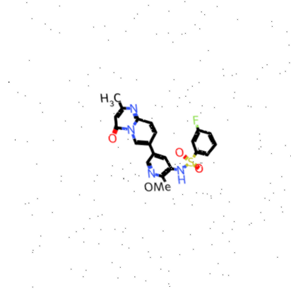 COc1ncc(-c2ccc3nc(C)cc(=O)n3c2)cc1NS(=O)(=O)c1cccc(F)c1